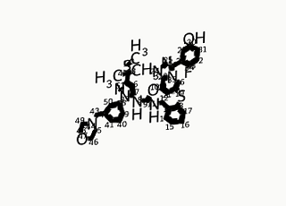 CSC(C)(C)c1cc(NC(=O)NCc2ccccc2Sc2ccc3nnc(-c4cc(O)ccc4F)n3c2)n(-c2cccc(CN3CCOCC3)c2)n1